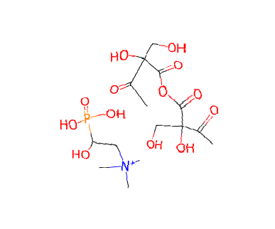 CC(=O)C(O)(CO)C(=O)OC(=O)C(O)(CO)C(C)=O.C[N+](C)(C)CC(O)P(=O)(O)O